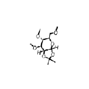 COC[C@H]1O[C@@H]2OC(C)(C)O[C@@H]2[C@@H](OC)[C@@H]1OC